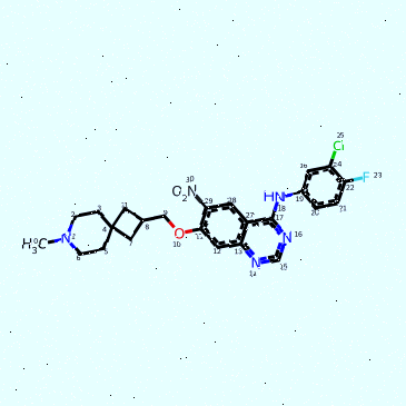 CN1CCC2(CC1)CC(COc1cc3ncnc(Nc4ccc(F)c(Cl)c4)c3cc1[N+](=O)[O-])C2